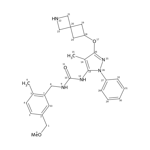 COCc1ccc(C)c(CNC(=O)Nc2c(C)c(OC3CC4(CNC4)C3)nn2-c2ccccc2)c1